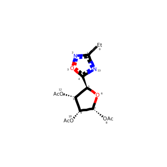 CCc1noc([C@H]2O[C@H](OC(C)=O)[C@H](OC(C)=O)[C@@H]2OC(C)=O)n1